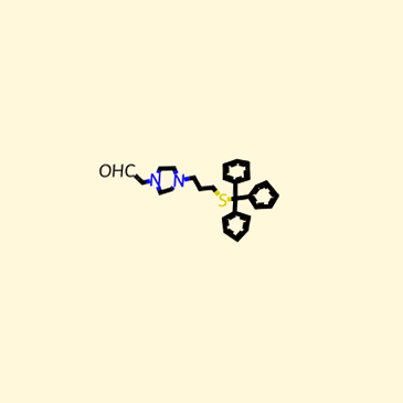 O=CCN1CCN(CCCSC(c2ccccc2)(c2ccccc2)c2ccccc2)CC1